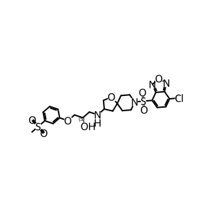 CS(=O)(=O)c1cccc(OC[C@@H](O)CNC2COC3(CCN(S(=O)(=O)c4ccc(Cl)c5nonc45)CC3)C2)c1